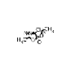 CCOP(=O)(OCC)C(C)=[N+]=[N-]